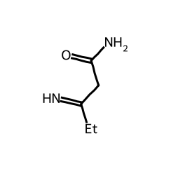 CCC(=N)CC(N)=O